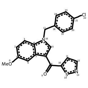 COc1ccc2c(c1)c(C(=O)c1ccns1)cn2Cc1ccc(Cl)cc1